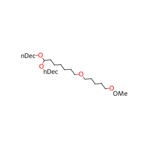 CCCCCCCCCCOC(CCCCCCOCCCCCOOC)OCCCCCCCCCC